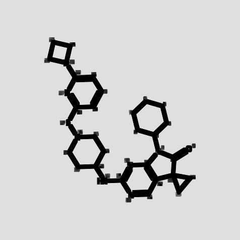 O=C1N(C2CCCCC2)c2nc(NC3CCN(Sc4cccc(N5CCC5)n4)CC3)ncc2C12CC2